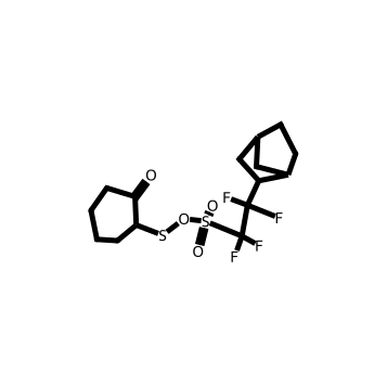 O=C1CCCCC1SOS(=O)(=O)C(F)(F)C(F)(F)C1CC2CCC1C2